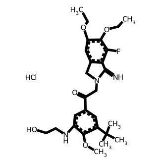 CCOc1cc2c(c(F)c1OCC)C(=N)N(CC(=O)c1cc(NCCO)c(OC)c(C(C)(C)C)c1)C2.Cl